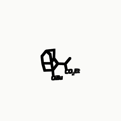 CCOC(=O)C(C)C1C2CC3CC(C2)CC1(OCC(C)C)C3